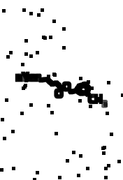 CCCCCCCCCCCCCC(=O)OCc1cccc(C)c1